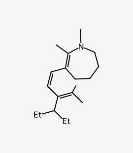 CCC(CC)C(/C=C\C1=C(C)N(I)CCCC1)=C(C)C